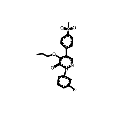 CCCOc1c(-c2ccc(S(C)(=O)=O)cc2)cnn(-c2cccc(Br)c2)c1=O